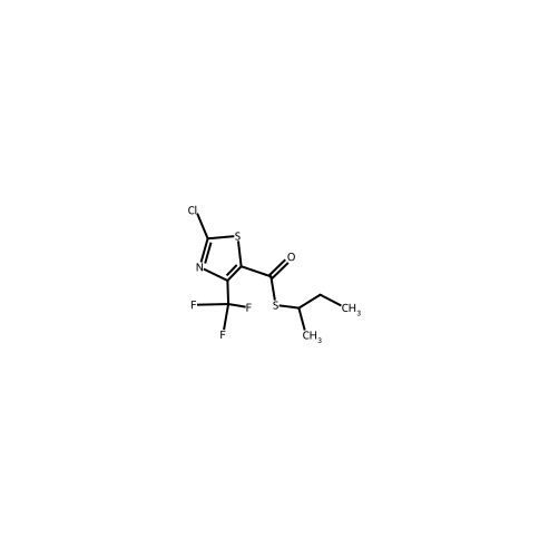 CCC(C)SC(=O)c1sc(Cl)nc1C(F)(F)F